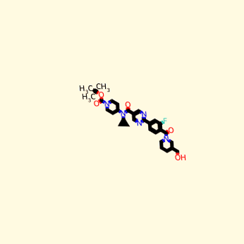 CC(C)(C)OC(=O)N1CCC(N(C(=O)c2cnc(-c3ccc(C(=O)N4CCCC(CO)C4)c(F)c3)nc2)C2CC2)CC1